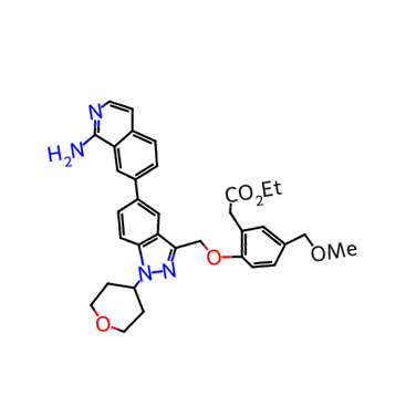 CCOC(=O)Cc1cc(COC)ccc1OCc1nn(C2CCOCC2)c2ccc(-c3ccc4ccnc(N)c4c3)cc12